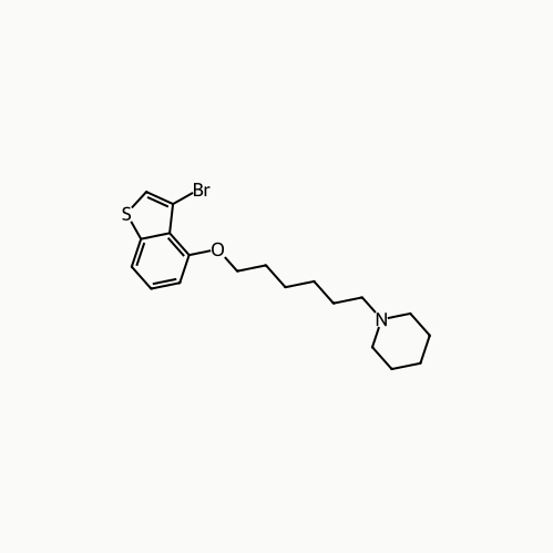 Brc1csc2cccc(OCCCCCCN3CCCCC3)c12